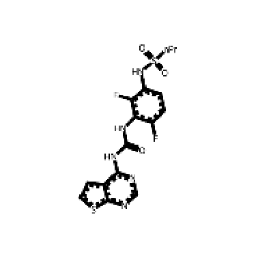 CCCS(=O)(=O)Nc1ccc(F)c(NC(=O)Nc2ncnc3sccc23)c1F